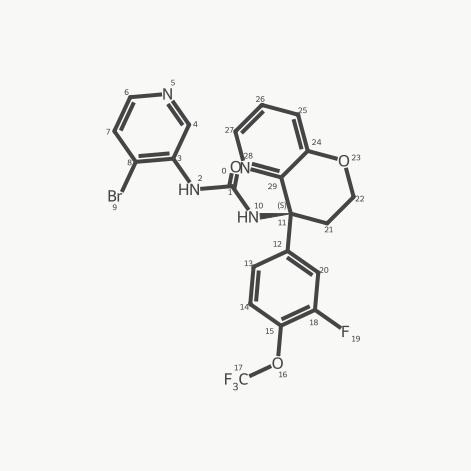 O=C(Nc1cnccc1Br)N[C@]1(c2ccc(OC(F)(F)F)c(F)c2)CCOc2cccnc21